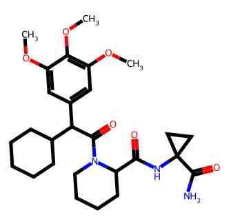 COc1cc(C(C(=O)N2CCCCC2C(=O)NC2(C(N)=O)CC2)C2CCCCC2)cc(OC)c1OC